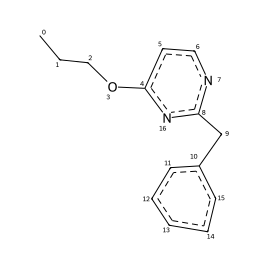 CCCOc1ccnc(Cc2ccccc2)n1